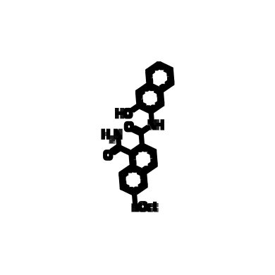 CCCCCCCCc1ccc2c(C(N)=O)c(C(=O)Nc3cc4ccccc4cc3O)ccc2c1